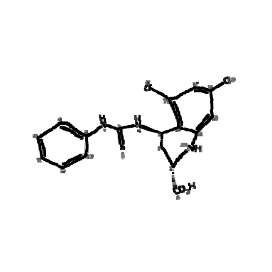 O=C(O)[C@@H]1C[C@@H](NC(=S)Nc2ccccc2)c2c(Cl)cc(Cl)cc2N1